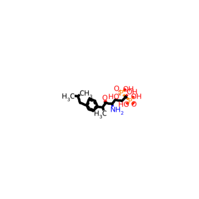 CC(C)Cc1ccc(C(C)C(=O)C(N)CCC(O)(P(=O)(O)O)P(=O)(O)O)cc1